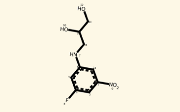 O=[N+]([O-])c1cc(F)cc(NCC(O)CO)c1